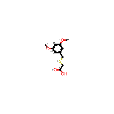 COc1cc(CSCC(=O)O)cc(OC)c1